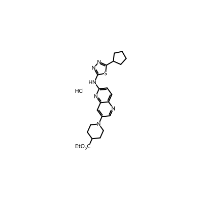 CCOC(=O)C1CCN(c2cnc3ccc(Nc4nnc(C5CCCC5)s4)nc3c2)CC1.Cl